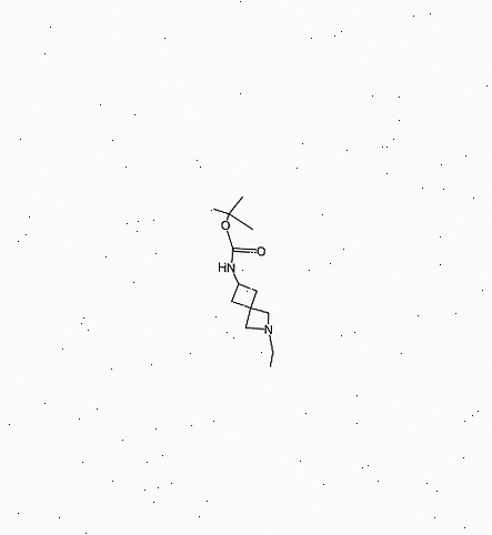 CCN1CC2(CC(NC(=O)OC(C)(C)C)C2)C1